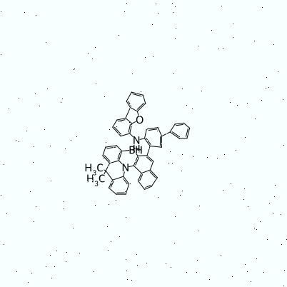 CC1(C)c2ccccc2N2c3c(cccc31)Bc1c(-c3cc(-c4ccccc4)ccc3Nc3cccc4c3oc3ccccc34)cc3ccccc3c12